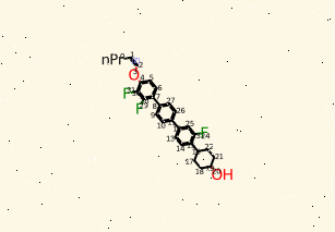 CCC/C=C\Oc1ccc(-c2ccc(-c3ccc(C4CCC(O)CC4)c(F)c3)cc2)c(F)c1F